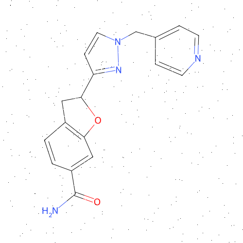 NC(=O)c1ccc2c(c1)OC(c1ccn(Cc3ccncc3)n1)C2